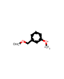 O=COCc1cccc(OC(F)(F)F)c1